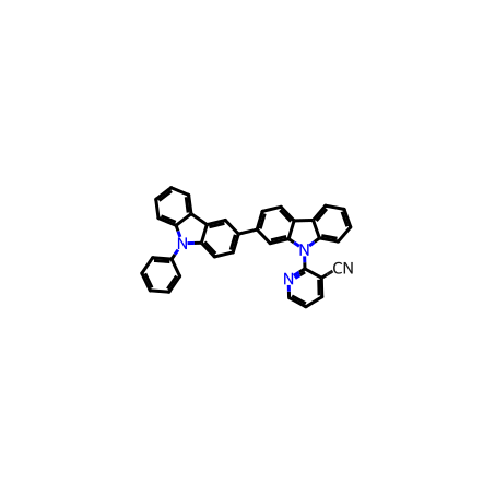 N#Cc1cccnc1-n1c2ccccc2c2ccc(-c3ccc4c(c3)c3ccccc3n4-c3ccccc3)cc21